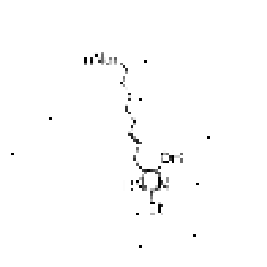 CCCCCCCCCCCCCCC=CCc1[nH]c(CC)nc1O